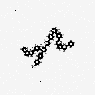 N#Cc1ccc(-c2ccc(-c3ccc(-c4ccc(-c5ccc(-c6cccc7oc8ccc(-c9ccc%10ccc%11ccc(-c%12ccccc%12)nc%11c%10n9)cc8c67)cc5)cn4)c4oc5ccc(-c6ccc7ccc8cccnc8c7n6)cc5c34)cc2)cc1